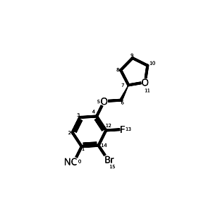 N#Cc1ccc(OC[C@H]2CCCO2)c(F)c1Br